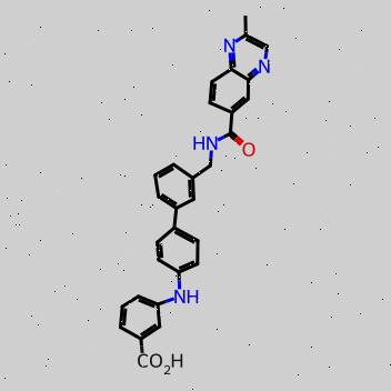 Cc1cnc2cc(C(=O)NCc3cccc(-c4ccc(Nc5cccc(C(=O)O)c5)cc4)c3)ccc2n1